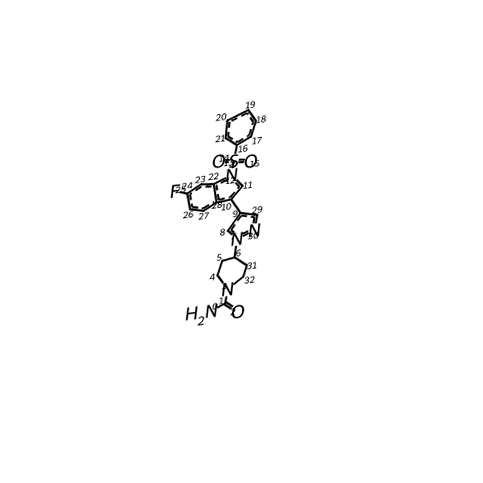 NC(=O)N1CCC(n2cc(-c3cn(S(=O)(=O)c4ccccc4)c4cc(F)ccc34)cn2)CC1